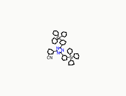 N#Cc1cccc(-c2nc(-c3cccc([Si](c4ccccc4)(c4ccccc4)c4ccccc4)c3)nc(-c3cccc([Si](c4ccccc4)(c4ccccc4)c4ccccc4)c3)n2)c1